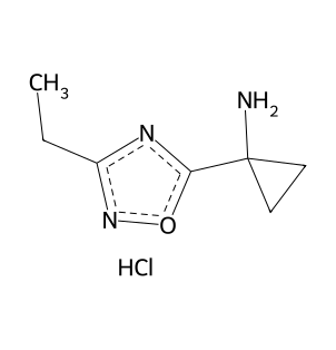 CCc1noc(C2(N)CC2)n1.Cl